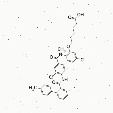 Cc1ccc(-c2ccccc2C(=O)Nc2ccc(C(=O)N(C)c3ccc(Cl)cc3OCCCCCC(=O)O)cc2Cl)cc1